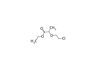 CCOC(=O)C(C)OCCCl